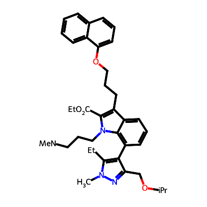 CCOC(=O)c1c(CCCOc2cccc3ccccc23)c2cccc(-c3c(COC(C)C)nn(C)c3CC)c2n1CCCNC